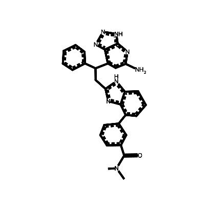 CN(C)C(=O)c1cccc(-c2cccc3[nH]c(CC(c4ccccc4)c4cc(N)nc5[nH]nnc45)nc23)c1